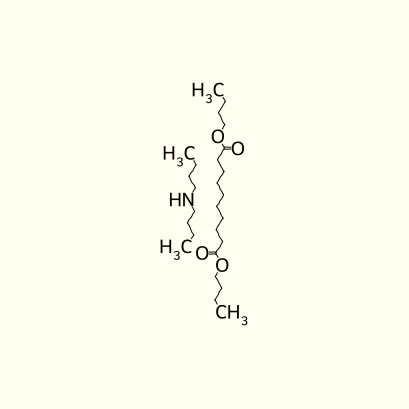 CCCCNCCCC.CCCCOC(=O)CCCCCCCCC(=O)OCCCC